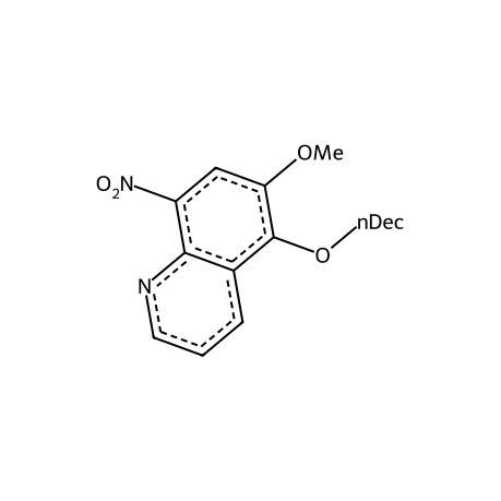 CCCCCCCCCCOc1c(OC)cc([N+](=O)[O-])c2ncccc12